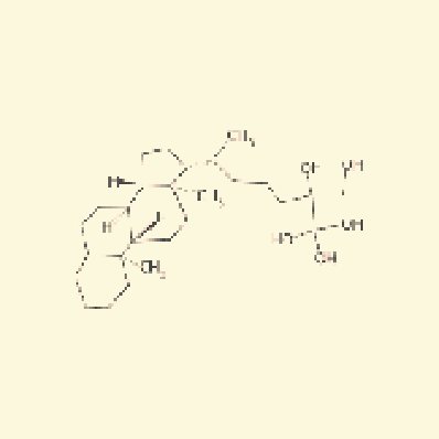 CC(CCCC(O)(CO)C(O)(O)O)[C@H]1CC[C@H]2[C@@H]3CCC4CCCC[C@]4(C)[C@H]3CC[C@]12C